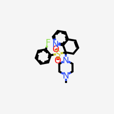 CN1CCN(C2(S(=O)(=O)c3ccccc3F)CC=Cc3cccnc32)CC1